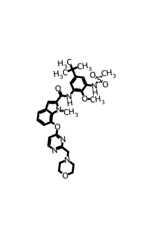 COc1c(NC(=O)c2cc3cccc(Oc4ccnc(CN5CCOCC5)n4)c3n2C)cc(C(C)(C)C)cc1NS(C)(=O)=O